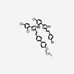 CCOc1ccc(-c2ccc(/C=C/c3nc(-c4ccc(Cl)cc4Cl)c[nH]3)cc2)cc1.Clc1ccc(-c2c[nH]c(/C=C/c3ccc(Br)cc3)n2)c(Cl)c1